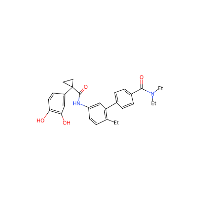 CCc1ccc(NC(=O)C2(c3ccc(O)c(O)c3)CC2)cc1-c1ccc(C(=O)N(CC)CC)cc1